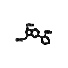 CCCCCCn1cc(CC=O)c2cc(-c3ccccc3OC)ccc21